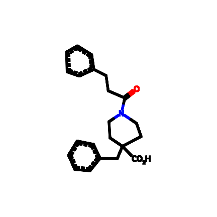 O=C(CCc1ccccc1)N1CCC(Cc2ccccc2)(C(=O)O)CC1